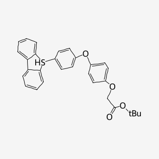 CC(C)(C)OC(=O)COc1ccc(Oc2ccc([SH]3c4ccccc4-c4ccccc43)cc2)cc1